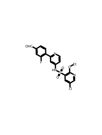 CCOc1ncc(Cl)cc1S(=O)(=O)Nc1ccnc(-c2ccc(C=O)cc2F)c1